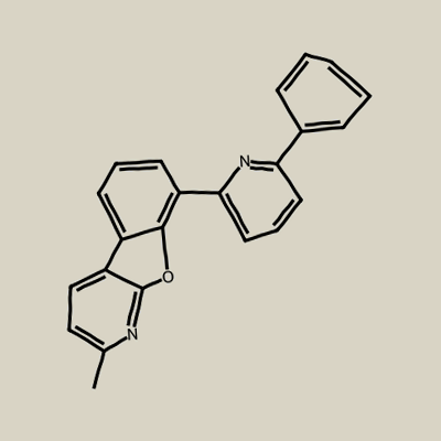 Cc1ccc2c(n1)oc1c(-c3cccc(-c4ccccc4)n3)cccc12